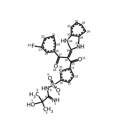 CC(C)(O)C(=N)NS(=O)(=O)c1ccc(C(=O)C(C(=O)c2cccc(F)c2)=C2Nc3ccccc3N2)s1